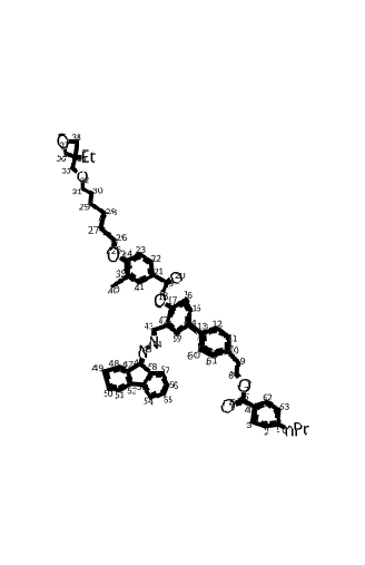 CCCc1ccc(C(=O)OCCc2ccc(-c3ccc(OC(=O)c4ccc(OCCCCCCOCC5(CC)COC5)c(C)c4)c(/C=N/N=C4c5ccccc5-c5ccccc54)c3)cc2)cc1